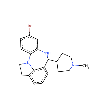 CN1CCC(C2Nc3cc(Br)ccc3N3CCc4cccc2c43)CC1